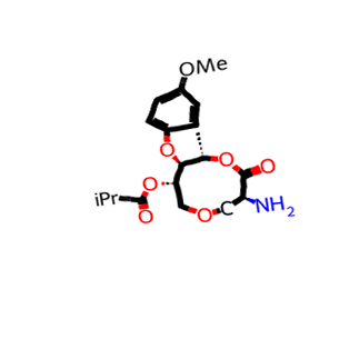 COc1ccc(O[C@H]2[C@H](C)OC(=O)[C@@H](N)COC[C@@H]2OC(=O)C(C)C)cc1